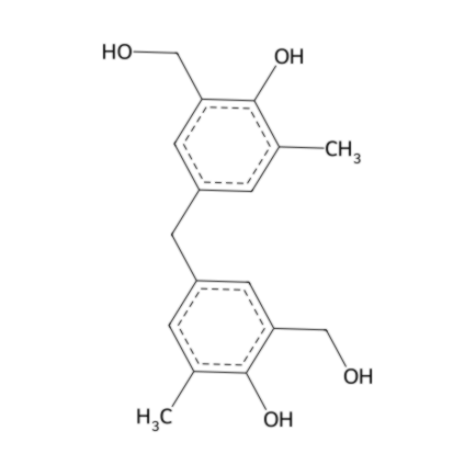 Cc1cc(Cc2cc(C)c(O)c(CO)c2)cc(CO)c1O